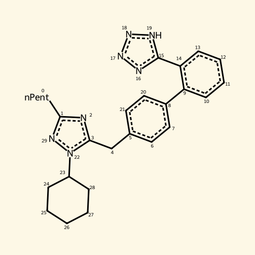 CCCCCc1nc(Cc2ccc(-c3ccccc3-c3nnn[nH]3)cc2)n(C2CCCCC2)n1